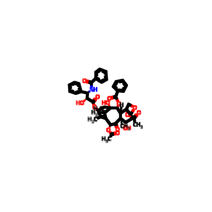 CC(=O)O[C@H]1C(=O)[C@]2(C)[C@@H](O)CC3OC[C@@]3(OC(C)=O)[C@H]2[C@H](OC(=O)c2ccccc2)[C@]2(O)CC(OC(=O)[C@H](O)[C@@H](NC(=O)c3ccccc3)c3ccccc3)C(C)=C1C2(C)C